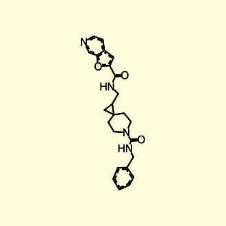 O=C(NCC1CC12CCN(C(=O)NCc1ccccc1)CC2)c1cc2ccncc2o1